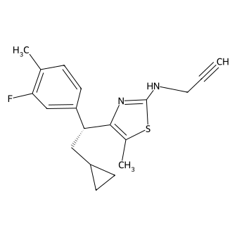 C#CCNc1nc([C@H](CC2CC2)c2ccc(C)c(F)c2)c(C)s1